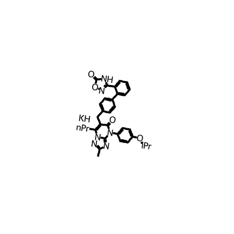 CCCc1c(Cc2ccc(-c3ccccc3-c3noc(=O)[nH]3)cc2)c(=O)n(-c2ccc(OC(C)C)cc2)c2nc(C)nn12.[KH]